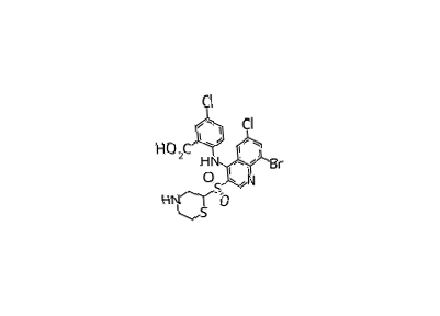 O=C(O)c1cc(Cl)ccc1Nc1c(S(=O)(=O)C2CNCCS2)cnc2c(Br)cc(Cl)cc12